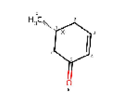 C[C@@H]1CC=CC(=O)C1